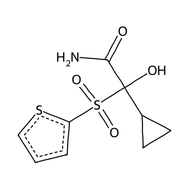 NC(=O)C(O)(C1CC1)S(=O)(=O)c1cccs1